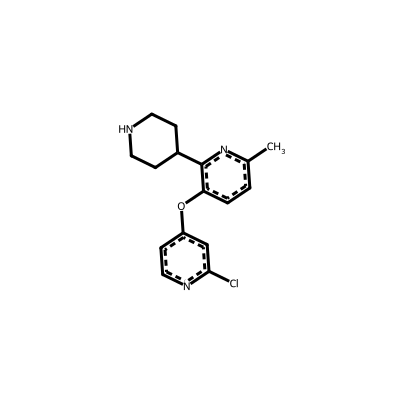 Cc1ccc(Oc2ccnc(Cl)c2)c(C2CCNCC2)n1